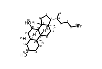 CC(C)CCCC(C)[C@H]1CC[C@H]2[C@@H]3[C@H](O)C[C@@H]4C[C@H](O)CC[C@]4(C)[C@H]3CC[C@]12C